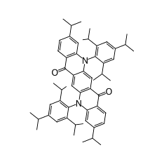 CC(C)c1cc(C(C)C)c(-n2c3cc(C(C)C)ccc3c(=O)c3cc4c(cc32)c(=O)c2ccc(C(C)C)cc2n4-c2c(C(C)C)cc(C(C)C)cc2C(C)C)c(C(C)C)c1